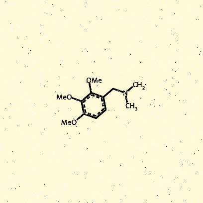 [CH2]N(C)Cc1ccc(OC)c(OC)c1OC